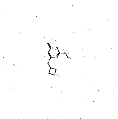 C=C/C=C(\N=C(/N)NC(C)C)OC1CNC1